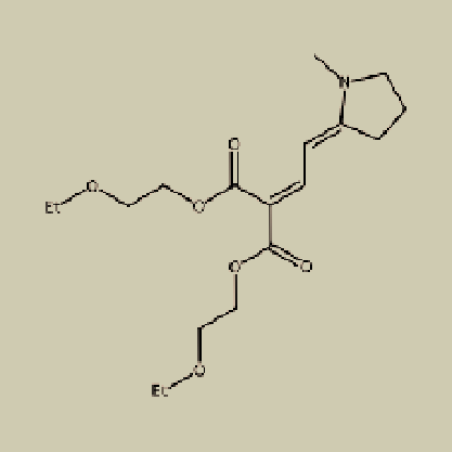 CCOCCOC(=O)C(=C/C=C1\CCCN1C)C(=O)OCCOCC